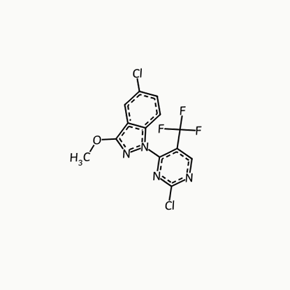 COc1nn(-c2nc(Cl)ncc2C(F)(F)F)c2ccc(Cl)cc12